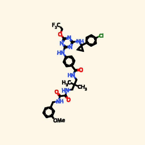 COc1cccc(CNC(=O)C(=O)NCC(C)(C)CNC(=O)c2ccc(Nc3nc(NC4(c5ccc(Cl)cc5)CC4)nc(OCC(F)(F)F)n3)cc2)c1